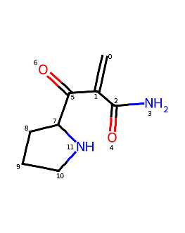 C=C(C(N)=O)C(=O)C1CCCN1